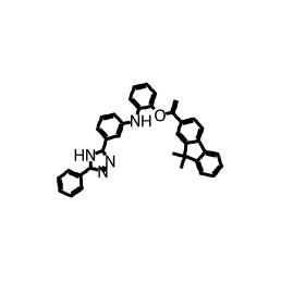 C=C(Oc1ccccc1Nc1cccc(C2N=NC(c3ccccc3)N2)c1)c1ccc2c(c1)C(C)(C)c1ccccc1-2